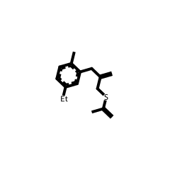 C=C(CSC(=C)C)Cc1cc(CC)ccc1C